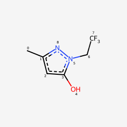 Cc1cc(O)n(CC(F)(F)F)n1